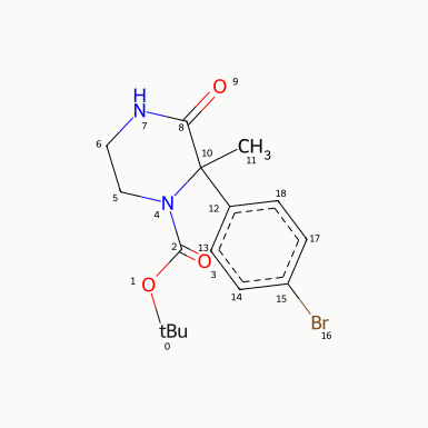 CC(C)(C)OC(=O)N1CCNC(=O)C1(C)c1ccc(Br)cc1